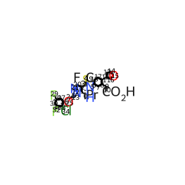 CC(C)c1c(C(=S)Nc2cc(CC(=O)O)c(-c3ccoc3)cc2C(F)(F)F)cnn1CCOc1cc(F)cc(F)c1Cl